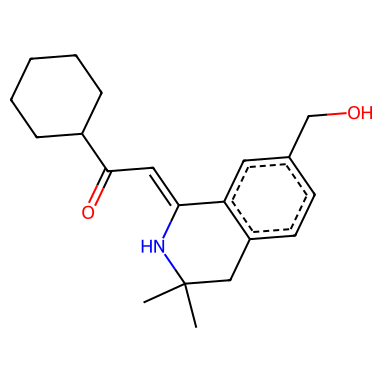 CC1(C)Cc2ccc(CO)cc2/C(=C/C(=O)C2CCCCC2)N1